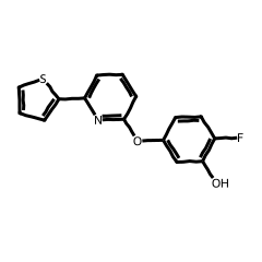 Oc1cc(Oc2cccc(-c3cccs3)n2)ccc1F